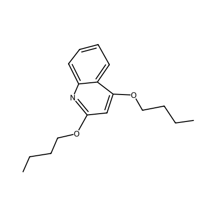 CCCCOc1cc(OCCCC)c2ccccc2n1